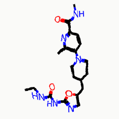 CCNC(=O)Nc1ncc(CC2CCN(c3ccc(C(=O)NC)nc3C)CC2)o1